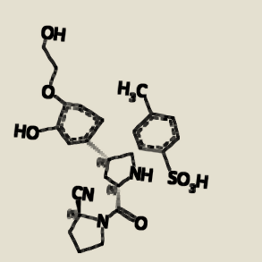 Cc1ccc(S(=O)(=O)O)cc1.N#C[C@@H]1CCCN1C(=O)[C@@H]1C[C@H](c2ccc(OCCO)c(O)c2)CN1